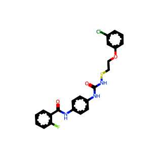 O=C(NSCCOc1cccc(Cl)c1)Nc1ccc(NC(=O)c2ccccc2F)cc1